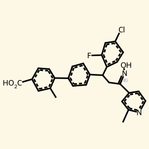 Cc1cc(/C(CC(c2ccc(-c3ccc(C(=O)O)cc3C)cc2)c2ccc(Cl)cc2F)=N/O)ccn1